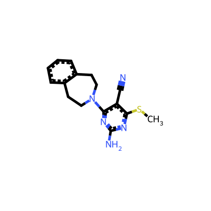 CSc1nc(N)nc(N2CCc3ccccc3CC2)c1C#N